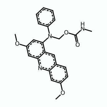 CNC(=O)OCN(c1ccccc1)c1cc(OC)cc2nc3cc(OC)ccc3cc12